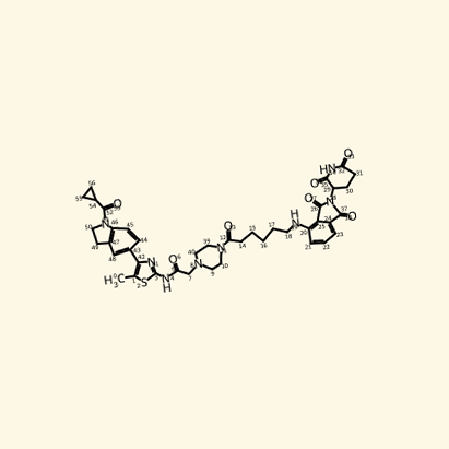 Cc1sc(NC(=O)CN2CCN(C(=O)CCCCCNc3cccc4c3C(=O)N(C3CCC(=O)NC3=O)C4=O)CC2)nc1-c1ccc2c(c1)CCN2C(=O)C1CC1